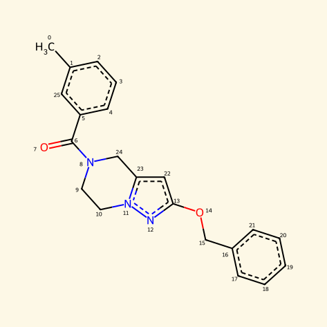 Cc1cccc(C(=O)N2CCn3nc(OCc4ccccc4)cc3C2)c1